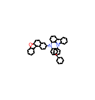 c1ccc(-c2ccc(N(c3ccc4c(ccc5oc6ccccc6c54)c3)c3cccc4c5ccccc5n(-c5ccccc5)c34)cc2)cc1